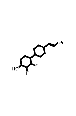 CCC/C=C/C1CCC(C2CCC(O)C(F)C2F)CC1